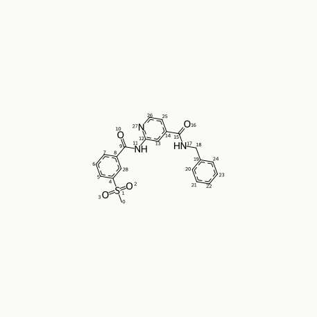 CS(=O)(=O)c1cccc(C(=O)Nc2cc(C(=O)NCc3ccccc3)ccn2)c1